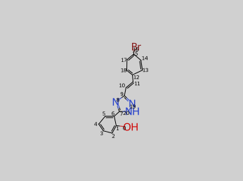 Oc1ccccc1-c1nc(C=Cc2ccc(Br)cc2)n[nH]1